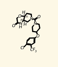 O=C1CO[C@H]2CCN(C(=O)N3CCC(Oc4ccc(Cl)c(C(F)(F)F)c4)CC3)C[C@H]2N1